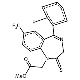 COC(=O)CN1C(=S)CN=C(c2ccccc2F)c2cc(C(F)(F)F)ccc21